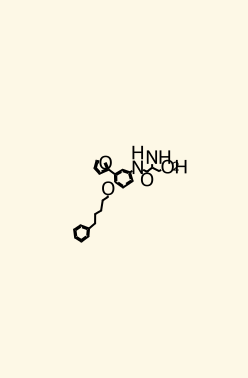 NC(CO)C(=O)Nc1ccc(OCCCCCc2ccccc2)c(-c2ccco2)c1